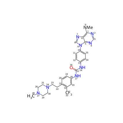 CNc1ncnc2c1ncn2-c1ccc(NC(=O)Nc2ccc(CCN3CCN(C)CC3)c(C(F)(F)F)c2)cc1